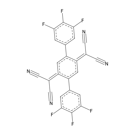 N#CC(C#N)=c1cc(-c2cc(F)c(F)c(F)c2)c(=C(C#N)C#N)cc1-c1cc(F)c(F)c(F)c1